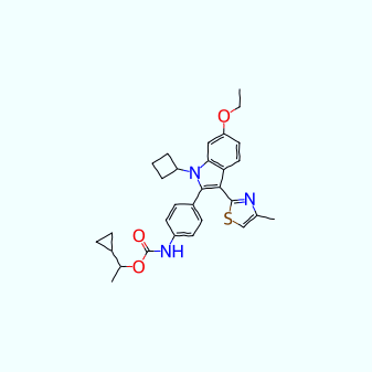 CCOc1ccc2c(-c3nc(C)cs3)c(-c3ccc(NC(=O)OC(C)C4CC4)cc3)n(C3CCC3)c2c1